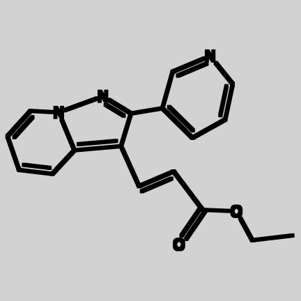 CCOC(=O)C=Cc1c(-c2cccnc2)nn2ccccc12